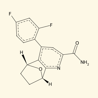 NC(=O)c1cc(-c2ccc(F)cc2F)c2c(n1)[C@@H]1CC[C@H]2O1